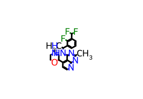 Cc1nc(NC(C)c2cccc(C(F)F)c2F)c2c(C3CNCCO3)ccnc2n1